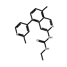 CCNC(=O)Nc1cc2c(-c3ccnc(C)c3)ccc(C)c2cn1